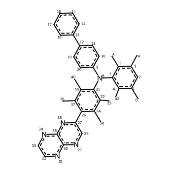 Cc1cc(C)c(C)c(N(c2ccc(-c3ccccc3)cc2)c2c(C)c(C)c(-c3cnc4nccnc4n3)c(C)c2C)c1C